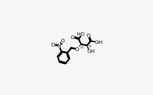 O=C(O)[C@@H](O)[C@H](OCc1ccccc1[N+](=O)[O-])C(=O)O